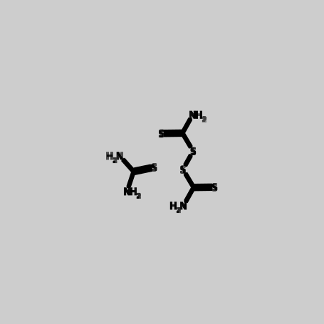 NC(=S)SSC(N)=S.NC(N)=S